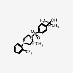 C[C@@H]1CN(c2ccccc2C(F)(F)F)CCN1S(=O)(=O)c1ccc([C@@](C)(O)C(F)(F)F)cc1